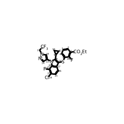 CCOC(=O)c1cccc(Sc2c(C3CC3)n(-c3cnn(CC(F)(F)F)c3)c3c(F)c(Cl)ccc23)c1F